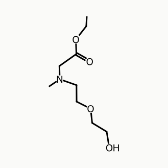 CCOC(=O)CN(C)CCOCCO